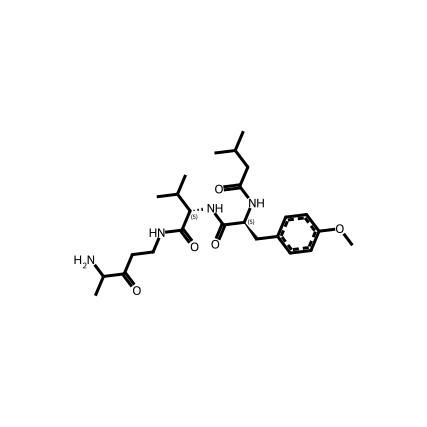 COc1ccc(C[C@H](NC(=O)CC(C)C)C(=O)N[C@H](C(=O)NCCC(=O)C(C)N)C(C)C)cc1